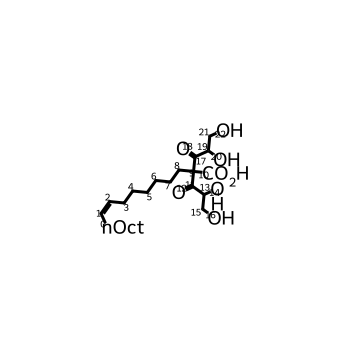 CCCCCCCC/C=C\CCCCCCC(C(=O)O)(C(=O)C(O)CO)C(=O)C(O)CO